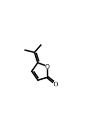 CC(C)=C1C=CC(=O)O1